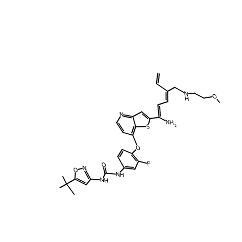 C=C/C(=C\C=C(/N)c1cc2nccc(Oc3ccc(NC(=O)Nc4cc(C(C)(C)C)on4)cc3F)c2s1)CNCCOC